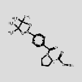 CC(C)(C)OC(=O)[C@@H]1CCCN1C(=O)c1ccc(B2OC(C)(C)C(C)(C)O2)cc1